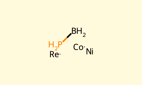 BP.[Co].[Ni].[Re]